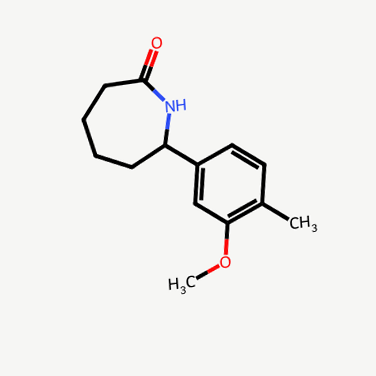 COc1cc(C2CCCCC(=O)N2)ccc1C